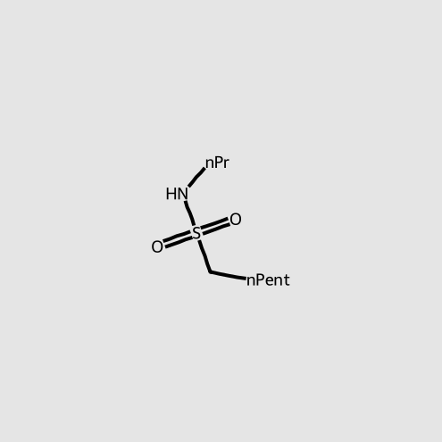 CCCCCCS(=O)(=O)NCCC